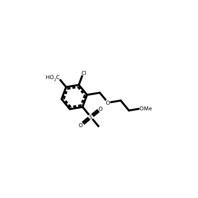 COCCOCc1c(S(C)(=O)=O)ccc(C(=O)O)c1Cl